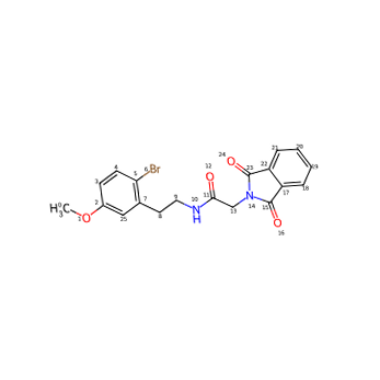 COc1ccc(Br)c(CCNC(=O)CN2C(=O)c3ccccc3C2=O)c1